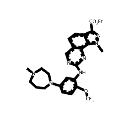 CCOC(=O)c1nn(C)c2c1ccc1cnc(Nc3cc(N4CCCN(C)CC4)ccc3OC(F)(F)F)nc12